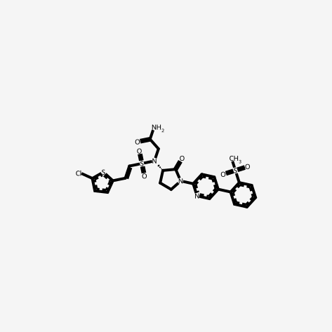 CS(=O)(=O)c1ccccc1-c1ccc(N2CC[C@H](N(CC(N)=O)S(=O)(=O)C=Cc3ccc(Cl)s3)C2=O)nc1